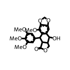 COc1cc(C2c3c(cc4c(c3OC)OCO4)C(O)C3COC(=O)C23)cc(OC)c1OC